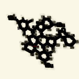 Cc1cc(C(C)(C)C)cc(C)c1N1c2cccc3c2B(c2cc(-c4coc5ccccc45)ccc2N3c2c(C)cc(C(C)(C)C)cc2-c2ccccc2)c2c1sc1ccc(C(C)(C)C)cc21